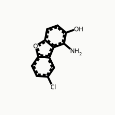 Nc1c(O)ccc2oc3ccc(Cl)cc3c12